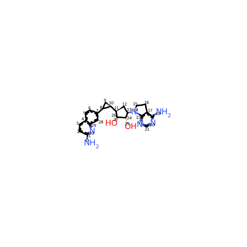 Nc1ccc2ccc(C3C[C@H]3[C@H]3C[C@@H](N4CCc5c(N)ncnc54)[C@H](O)[C@@H]3O)cc2n1